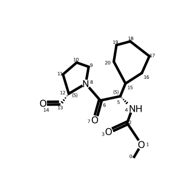 COC(=O)N[C@H](C(=O)N1CCC[C@H]1C=O)C1CCCCC1